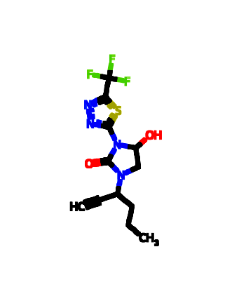 C#CC(CCC)N1CC(O)N(c2nnc(C(F)(F)F)s2)C1=O